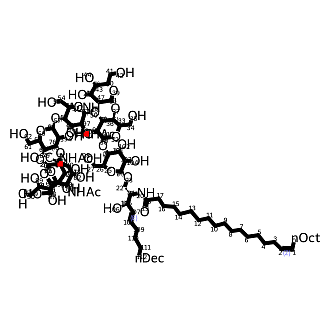 CCCCCCCC/C=C\CCCCCCCCCCCCCCCC(=O)N[C@@H](CO[C@@H]1OC(CO)[C@@H](O[C@@H]2OC(CO)[C@H](O[C@@H]3OC(CO)[C@H](O)[C@H](O)C3NC(C)=O)[C@H](O[C@@H]3OC(CO)[C@@H](O[C@@H]4OC(CO)[C@H](O[C@@H]5OC(CO)[C@H](O)[C@H](O)C5NC(C)=O)[C@H](O[C@]5(C(=O)O)CC(O)[C@@H](NC(C)=O)C([C@H](O)[C@H](O)CO)O5)C4O)[C@H](O)C3NC(C)=O)C2O)[C@H](O)C1O)[C@H](O)/C=C/CCCCCCCCCCCCC